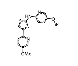 COc1ccc(-c2csc(Nc3ccc(OC(C)C)cn3)n2)nc1